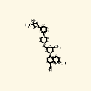 CC1CN(c2ccc(C#N)c3nc(O)ccc23)CC(CN2CCN(c3cccc(N4CC(C)(N)C4)n3)CC2)O1